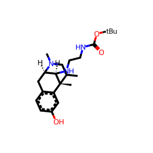 CC1CN(C)[C@@H]2Cc3ccc(O)cc3[C@]1(C)[C@@H]2NCCNC(=O)OC(C)(C)C